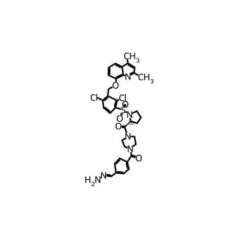 Cc1cc(C)c2cccc(OCc3c(Cl)ccc(S(=O)(=O)N4CCC[C@H]4C(=O)N4CCN(C(=O)c5ccc(C=NN)cc5)CC4)c3Cl)c2n1